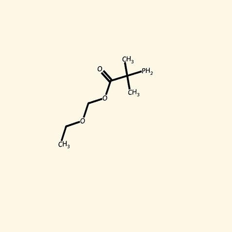 CCOCOC(=O)C(C)(C)P